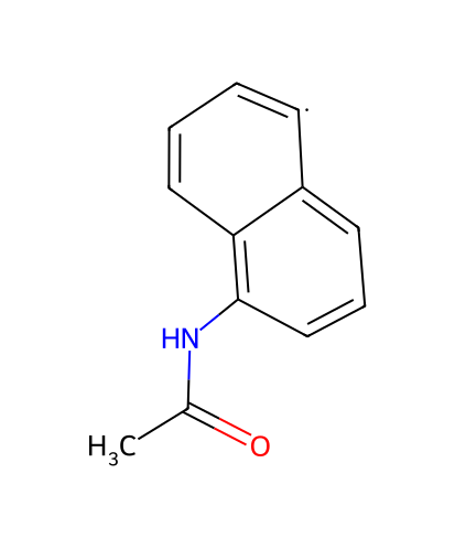 CC(=O)Nc1cccc2[c]cccc12